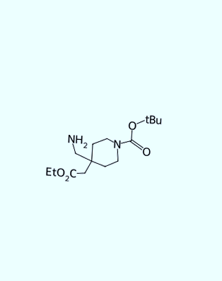 CCOC(=O)CC1(CN)CCN(C(=O)OC(C)(C)C)CC1